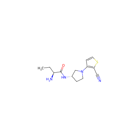 CC[C@H](N)C(=O)N[C@H]1CCN(c2ccsc2C#N)C1